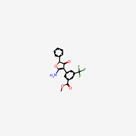 COC(=O)c1cc(C2=C(N)OC(c3ccccc3)C2=O)cc(C(F)(F)F)c1